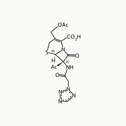 CC(=O)OCC1=C(C(=O)O)N2C(=O)[C@@](NC(=O)Cn3ncnn3)(C(C)=O)[C@H]2SC1